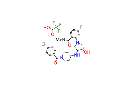 CNC(=O)c1ccc(F)cc1N1C[C@@H](O)[C@H](NC2CCN(C(=O)c3ccc(Cl)cc3)CC2)C1.O=C(O)C(F)(F)F